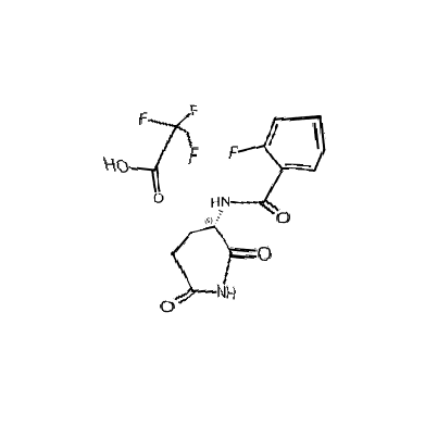 O=C(O)C(F)(F)F.O=C1CC[C@H](NC(=O)c2ccccc2F)C(=O)N1